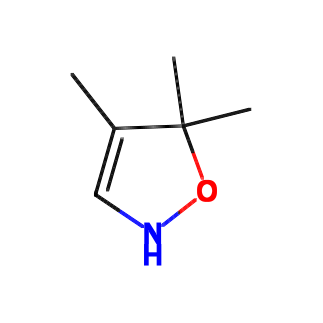 CC1=CNOC1(C)C